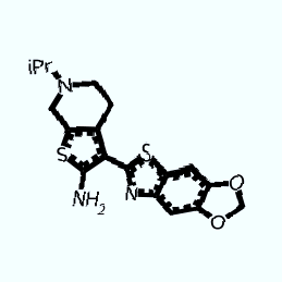 CC(C)N1CCc2c(sc(N)c2-c2nc3cc4c(cc3s2)OCO4)C1